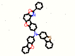 c1ccc(-c2nc3c(ccc4oc5cc(N(c6ccc7c(c6)oc6ccccc67)c6ccc7sc8ccccc8c7c6)ccc5c43)o2)cc1